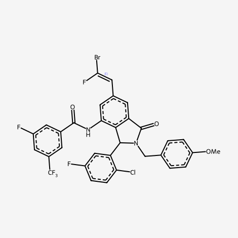 COc1ccc(CN2C(=O)c3cc(/C=C(\F)Br)cc(NC(=O)c4cc(F)cc(C(F)(F)F)c4)c3C2c2cc(F)ccc2Cl)cc1